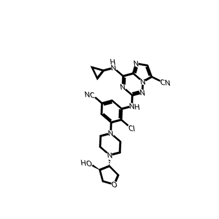 N#Cc1cc(Nc2nc(NC3CC3)c3ncc(C#N)n3n2)c(Cl)c(N2CCN([C@@H]3COC[C@H]3O)CC2)c1